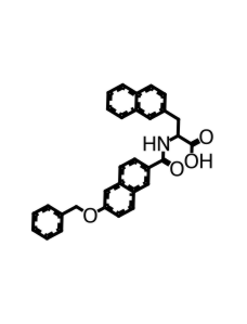 O=C(NC(Cc1ccc2ccccc2c1)C(=O)O)c1ccc2cc(OCc3ccccc3)ccc2c1